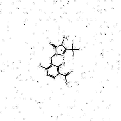 Cn1c(C(F)(F)F)nn(Cc2c(Cl)ccc(C(=O)O)c2Cl)c1=O